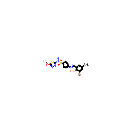 Bc1cc(Br)c(O)c(/C=N/c2ccc(S(=O)(=O)Nc3nnc(OCC)s3)cc2)c1